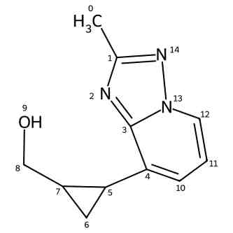 Cc1nc2c(C3CC3CO)cccn2n1